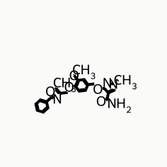 COc1cc(COc2nn(C)cc2C(N)=O)ccc1OCc1nc(-c2ccccc2)oc1C